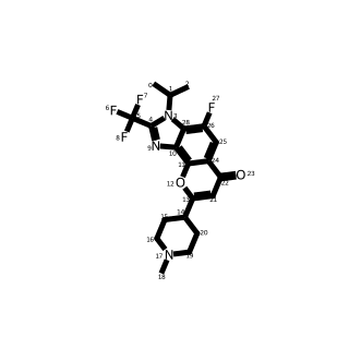 CC(C)n1c(C(F)(F)F)nc2c3oc(C4CCN(C)CC4)cc(=O)c3cc(F)c21